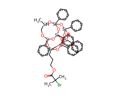 C[SiH]1CO[Si]2(c3ccccc3)O[Si]3(CCCOC(=O)C(C)(C)Br)O[SiH](c4ccccc4)O[Si]4(c5ccccc5)O[Si](c5ccccc5)(O1)O[Si](c1ccccc1)(O2)O[Si](c1ccccc1)(O3)O4